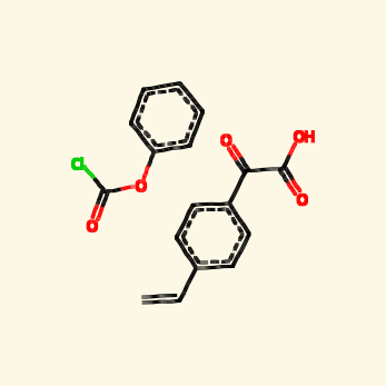 C=Cc1ccc(C(=O)C(=O)O)cc1.O=C(Cl)Oc1ccccc1